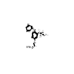 CS(=O)(=O)Nc1cc(OCCC(=O)O)ccc1Oc1ccccc1